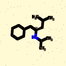 CC(C)C[C@H](CC1CCCCC1)NC(C)C